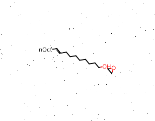 C1CO1.CCCCCCCCC=CCCCCCCCCO